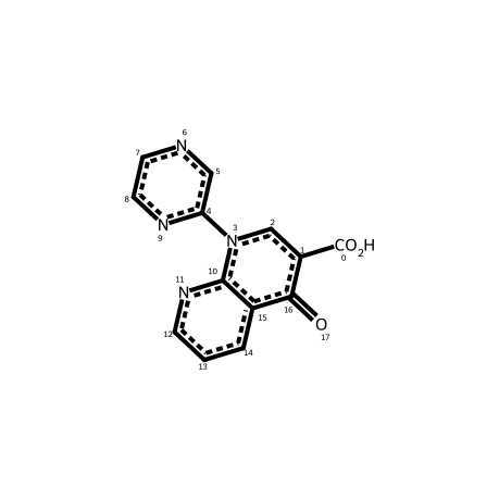 O=C(O)c1cn(-c2cnccn2)c2ncccc2c1=O